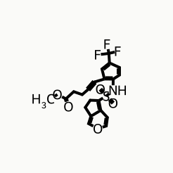 COC(=O)CCC#Cc1cc(C(F)(F)F)ccc1NS(=O)(=O)C1=C2C=COC=C2CC1